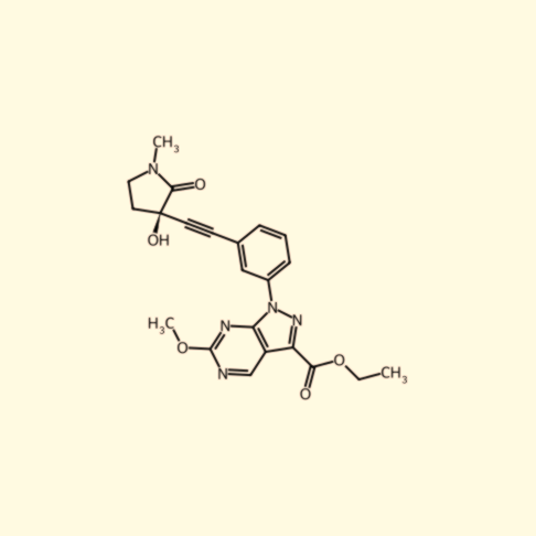 CCOC(=O)c1nn(-c2cccc(C#C[C@]3(O)CCN(C)C3=O)c2)c2nc(OC)ncc12